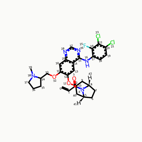 C=CC(=O)N1[C@@H]2CC[C@H]1C[C@H](Oc1cc3c(Nc4ccc(Cl)c(Cl)c4F)ncnc3cc1OCC1CCCN1C)C2